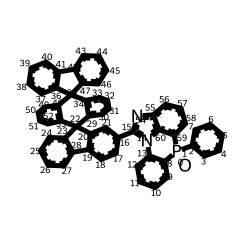 O=P1(c2ccccc2)c2ccccc2-n2c(-c3ccc4c(c3)C3(c5ccccc5-4)c4ccccc4C4(c5ccccc5-c5ccccc54)c4ccccc43)nc3cccc1c32